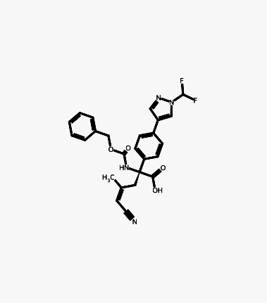 C/C(=C/C#N)C[C@](NC(=O)OCc1ccccc1)(C(=O)O)c1ccc(-c2cnn(C(F)F)c2)cc1